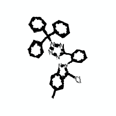 Cc1ccc2nn(-c3ccccc3-c3nnn(C(c4ccccc4)(c4ccccc4)c4ccccc4)n3)c(Cl)c2c1